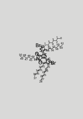 CCCCCCCCc1c(Br)sc(-c2sc(-c3sc(Br)c(CCCCCCCC)c3CCCCCCCC)c3c2C(=O)N(CCCCCCCC)C3=O)c1CCCCCCCC